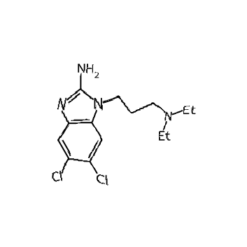 CCN(CC)CCCn1c(N)nc2cc(Cl)c(Cl)cc21